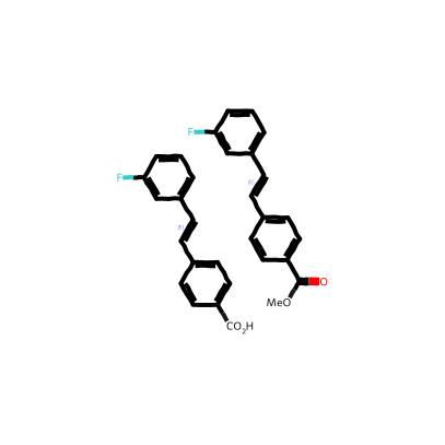 COC(=O)c1ccc(/C=C/c2cccc(F)c2)cc1.O=C(O)c1ccc(/C=C/c2cccc(F)c2)cc1